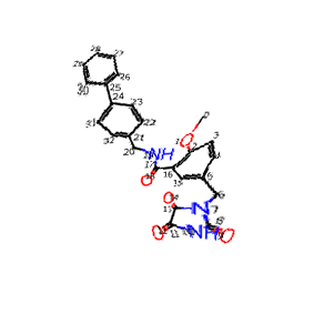 COc1ccc(CN2C(=O)NC(=O)C2=O)cc1C(=O)NCc1ccc(-c2ccccc2)cc1